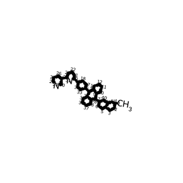 Cc1ccc2ccc(-c3c4ccccc4c(-c4ccc(-c5cccc(-c6cccnc6)n5)cc4)c4ccccc34)cc2c1